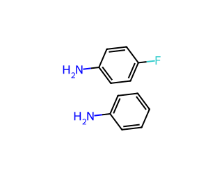 Nc1ccc(F)cc1.Nc1ccccc1